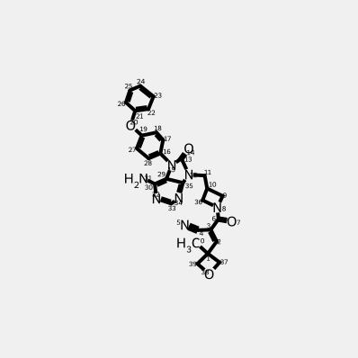 CC1(C=C(C#N)C(=O)N2CC(Cn3c(=O)n(-c4ccc(Oc5ccccc5)cc4)c4c(N)ncnc43)C2)COC1